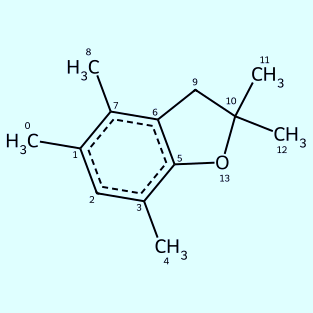 Cc1cc(C)c2c(c1C)CC(C)(C)O2